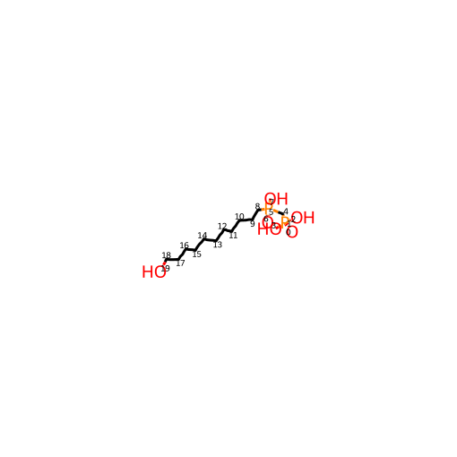 O=P(O)(O)CP(=O)(O)CCCCCCCCCCCO